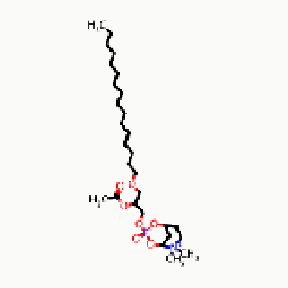 CCCCCCCCCCCCCCCCOCC(COP1(=O)OC2CC[N+](C)(C)C(C2)O1)OC(C)=O